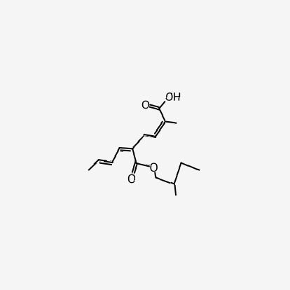 CC=CC=C(CC=C(C)C(=O)O)C(=O)OCC(C)CC